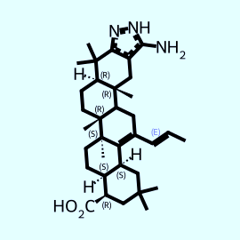 C/C=C/C1=C2[C@H]3CC(C)(C)C[C@@H](C(=O)O)[C@H]3CC[C@@]2(C)[C@]2(C)CC[C@H]3C(C)(C)c4n[nH]c(N)c4C[C@]3(C)C2C1